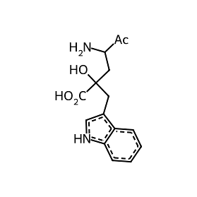 CC(=O)C(N)CC(O)(Cc1c[nH]c2ccccc12)C(=O)O